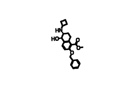 COC(=O)c1c(OCc2ccccc2)ccc2c1CC[C@@H](NC1CCC1)[C@@H]2O